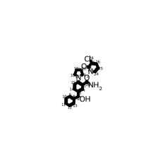 NC(=O)c1cc(C(O)c2ccccc2)ccc1N1CCC(Oc2ncccc2Cl)C1